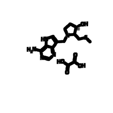 CSCC1[C@H](O)CCN1Cc1c[nH]c2c(N)ncnc12.O=C(O)C(=O)O